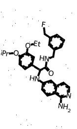 CCOc1cc(C(Nc2ccc3c(N)nccc3c2)C(=O)NCc2cccc(CF)c2)ccc1OC(C)C